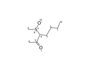 CCCCC(C(C)=O)[S+](C)[O-]